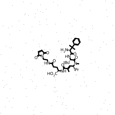 C/C(=C\[C@H](C(C)C)N(C)C(=O)[C@@H](NC(=O)[C@@H](N)C(C)(C)c1ccccc1)C(C)(C)C)C(=O)N[C@H](CCC(=O)NCCN1C(=O)C=CC1=O)C(=O)O